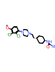 COc1ccc(N2CCN(CC[C@H]3CC[C@H](NC(N)=O)CC3)CC2)c(Cl)c1Cl